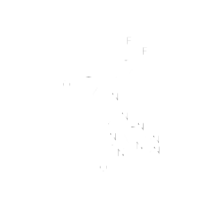 COc1ccc(C(c2ccc(C(F)F)cc2)N2C[C@H](C)N(c3nc4nncn4c4c3nc(C)n4C[C@@H]3CCCO3)C[C@H]2C)cc1